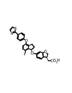 O=C(O)C[C@@H]1COc2cc(O[C@@H]3CCc4c(Oc5ccc(-c6nccs6)cc5)ccc(F)c43)ccc21